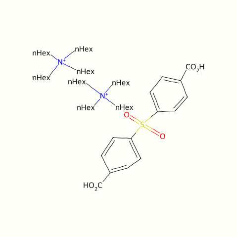 CCCCCC[N+](CCCCCC)(CCCCCC)CCCCCC.CCCCCC[N+](CCCCCC)(CCCCCC)CCCCCC.O=C(O)c1ccc(S(=O)(=O)c2ccc(C(=O)O)cc2)cc1